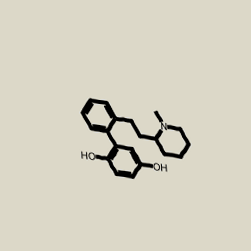 CN1CCCCC1CCc1ccccc1-c1cc(O)ccc1O